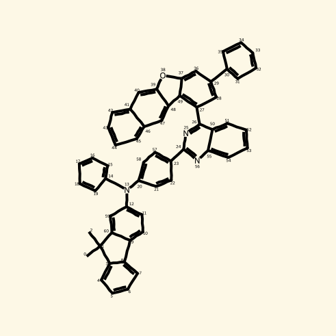 CC1(C)c2ccccc2-c2ccc(N(c3ccccc3)c3ccc(-c4nc(-c5cc(-c6ccccc6)cc6oc7cc8ccccc8cc7c56)c5ccccc5n4)cc3)cc21